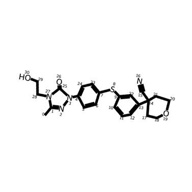 Cc1nn(-c2ccc(Sc3cccc(C4(C#N)CCOCC4)c3)cc2)c(=O)n1CCO